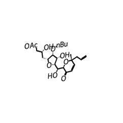 C=CC[C@]1(C)C=CC(=O)[C@@H]([C@@H](O)[C@@H]2O[C@H](C[C@@H](O)COC(C)=O)[C@H](OCCCC)[C@@H]2O)O1